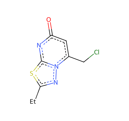 CCc1nn2c(CCl)cc(=O)nc2s1